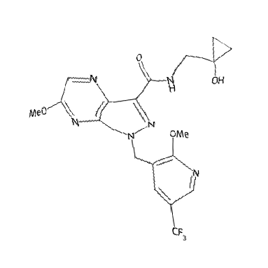 COc1cnc2c(C(=O)NCC3(O)CC3)nn(Cc3cc(C(F)(F)F)cnc3OC)c2n1